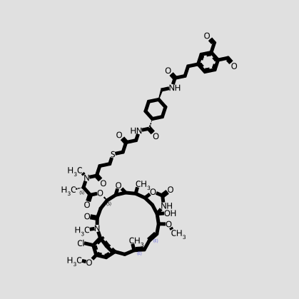 COc1cc2cc(c1Cl)N(C)C(=O)C[C@H](OC(=O)[C@H](C)N(C)C(=O)CCSCC(=O)CNC(=O)[C@H]1CC[C@H](CNC(=O)CCc3ccc(C=O)c(C=O)c3)CC1)C1OC1C(C)C1CC(O)(NC(=O)O1)C(OC)/C=C/C=C(\C)C2